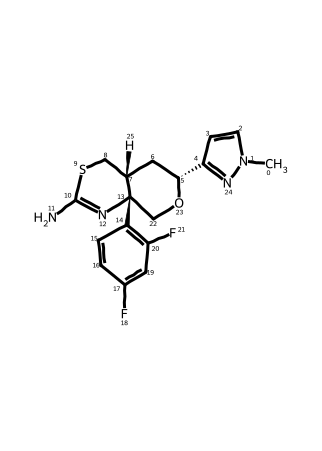 Cn1ccc([C@H]2C[C@H]3CSC(N)=N[C@@]3(c3ccc(F)cc3F)CO2)n1